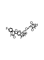 CCc1cc2c(C(=O)NC)c(-c3ccc(F)cc3)oc2nc1N(CCOCCN1C(=O)NC(C)(C)C1=O)S(C)(=O)=O